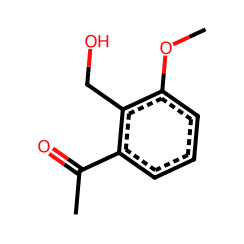 COc1cccc(C(C)=O)c1CO